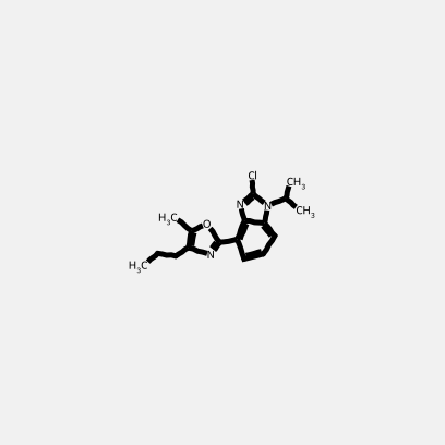 CCCc1nc(-c2cccc3c2nc(Cl)n3C(C)C)oc1C